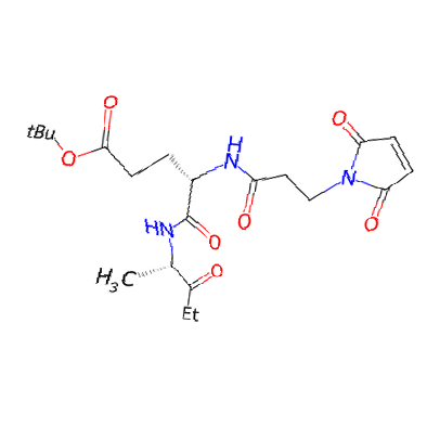 CCC(=O)[C@H](C)NC(=O)[C@H](CCC(=O)OC(C)(C)C)NC(=O)CCN1C(=O)C=CC1=O